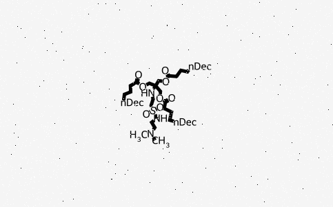 CCCCCCCCCCCCCC(=O)OCC(COC(=O)CCCCCCCCCCCCC)(COC(=O)CCCCCCCCCCCCC)NCCS(=O)(=O)NCCN(C)C